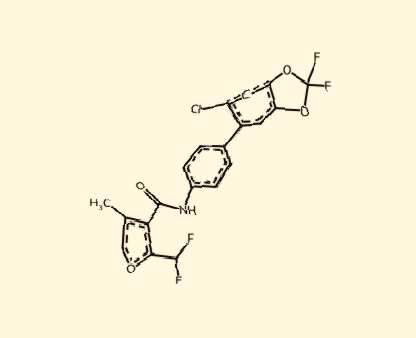 Cc1coc(C(F)F)c1C(=O)Nc1ccc(-c2cc3c(cc2Cl)OC(F)(F)O3)cc1